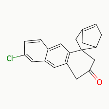 O=C1Cc2cc3cc(Cl)ccc3cc2C2(C1)CC1=CCC2C1